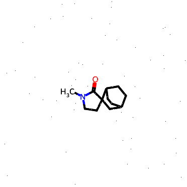 CN1CCC2(CC3CCC2CC3)C1=O